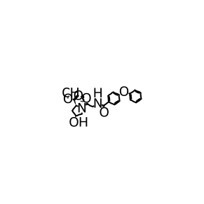 COC(=O)[C@@H]1C[C@@H](O)CN1C(=O)CNC(=O)c1ccc(Oc2ccccc2)cc1